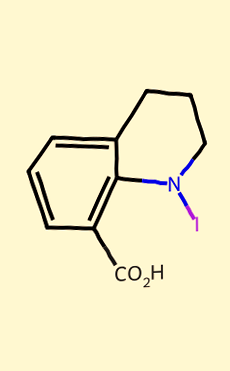 O=C(O)c1cccc2c1N(I)CCC2